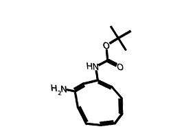 CC(C)(C)OC(=O)Nc1cccccccc(N)c1